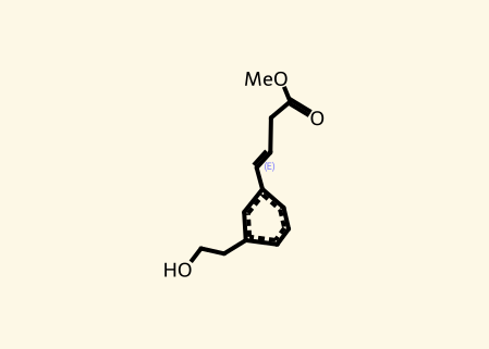 COC(=O)C/C=C/c1cccc(CCO)c1